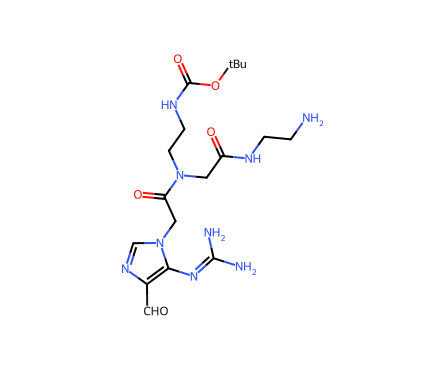 CC(C)(C)OC(=O)NCCN(CC(=O)NCCN)C(=O)Cn1cnc(C=O)c1N=C(N)N